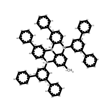 Cc1cc2c3c(c1)N(c1cc(-c4ccccc4)cc(-c4ccccc4)c1)c1ccc(-c4ccccc4)cc1B3c1cc(-c3ccccc3)ccc1N2c1cc(-c2ccccc2)cc(-c2ccccc2)c1